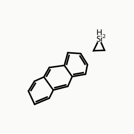 C1C[SiH2]1.c1ccc2cc3ccccc3cc2c1